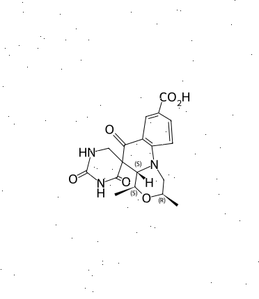 C[C@@H]1CN2c3ccc(C(=O)O)cc3C(=O)C3(CNC(=O)NC3=O)[C@H]2[C@H](C)O1